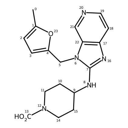 Cc1ccc(Cn2c(NC3CCN(C(=O)O)CC3)nc3ccncc32)o1